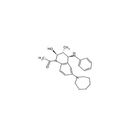 CC(=O)N1c2ccc(N3CCCCCC3)cc2[C@H](Nc2ccccc2)[C@@H](C)[C@@H]1O